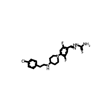 NC(=S)NN=Cc1cc(F)c(N2CCC(NCCc3ccc(Cl)cc3)CC2)cc1F